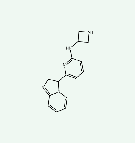 C1=CC2=NCC(c3cccc(NC4CNC4)n3)N2C=C1